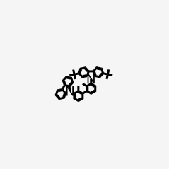 Cc1c(-c2cccc(-n3c4cc(C(C)(C)C)ccc4c4ccc(C(C)(C)C)cc43)c2C)cccc1-n1c2ccccc2c2ccccc21